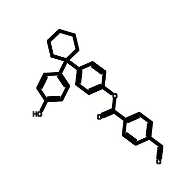 O=Cc1ccc(C(=O)Oc2ccc(C3(c4ccc(O)cc4)CCCCC3)cc2)cc1